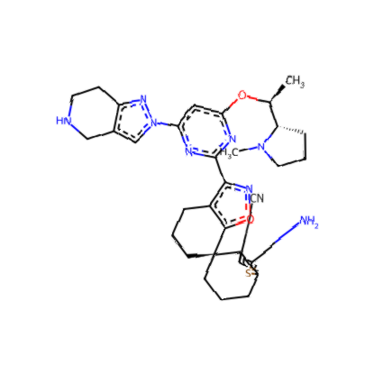 C[C@H](Oc1cc(-n2cc3c(n2)CCNC3)nc(-c2noc3c2CCC[C@@]32CCCc3sc(N)c(C#N)c32)n1)[C@@H]1CCCN1C